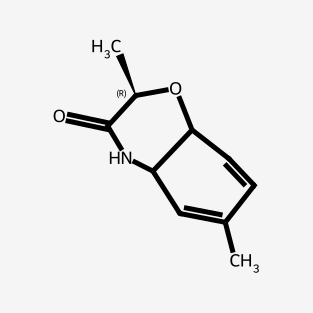 CC1=CC2NC(=O)[C@@H](C)OC2C=C1